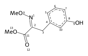 CON=C(Cc1cccc(O)c1)C(=O)OC